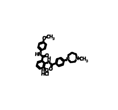 COc1ccc(NC(=O)c2cccc(O)c2NC(=O)c2ccc(N3CCCN(C)CC3)cc2)cc1.Cl